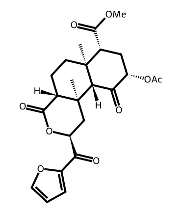 COC(=O)[C@@H]1C[C@H](OC(C)=O)C(=O)[C@H]2[C@@]1(C)CC[C@H]1C(=O)O[C@H](C(=O)c3ccco3)C[C@]21C